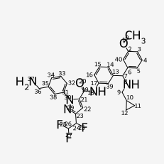 COc1cccc(C(NCC2CC2)c2cccc(NC(=O)c3cc(C(F)C(F)F)nn3-c3cccc(CN)c3)c2)c1